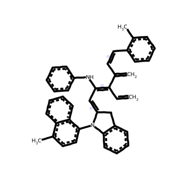 C=C/C(C(=C)/C=C\c1ccccc1C)=C(\C=C1/Cc2ccccc2N1c1ccc(C)c2ccccc12)Nc1ccccc1